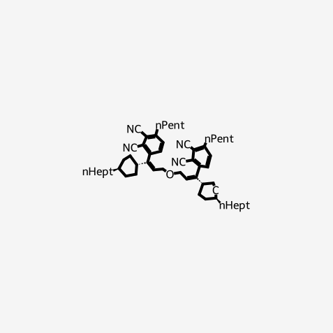 CCCCCCC[C@H]1CC[C@H](C(=CCOCC=C(c2ccc(CCCCC)c(C#N)c2C#N)[C@H]2CC[C@H](CCCCCCC)CC2)c2ccc(CCCCC)c(C#N)c2C#N)CC1